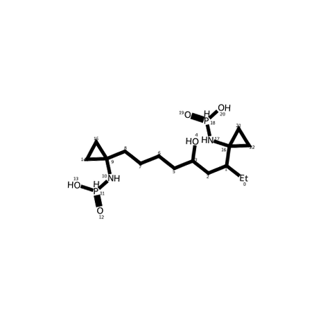 CCC(CC(O)CCCCC1(N[PH](=O)O)CC1)C1(N[PH](=O)O)CC1